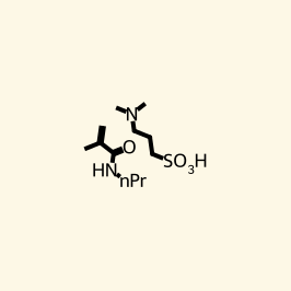 C=C(C)C(=O)NCCC.CN(C)CCCS(=O)(=O)O